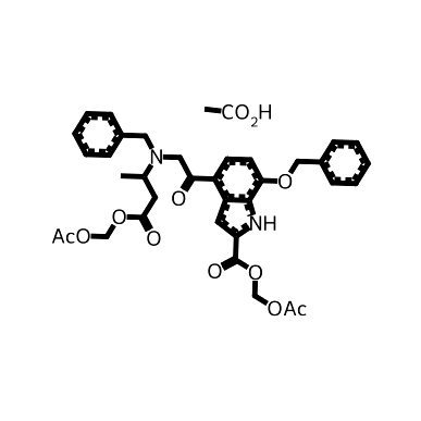 CC(=O)O.CC(=O)OCOC(=O)CC(C)N(CC(=O)c1ccc(OCc2ccccc2)c2[nH]c(C(=O)OCOC(C)=O)cc12)Cc1ccccc1